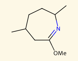 COC1=NC(C)CCC(C)C1